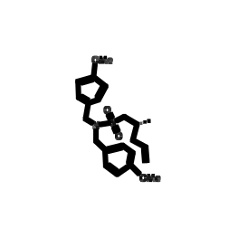 C=CC[C@@H](C)CS(=O)(=O)N(Cc1ccc(OC)cc1)Cc1ccc(OC)cc1